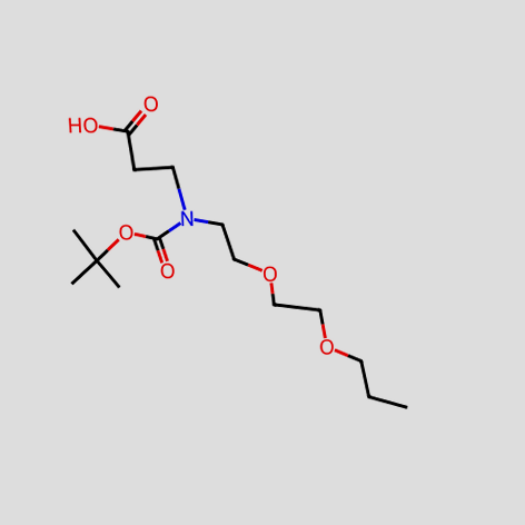 CCCOCCOCCN(CCC(=O)O)C(=O)OC(C)(C)C